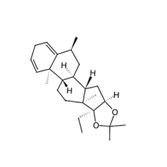 CC[C@@]12OC(C)(C)O[C@@H]1C[C@H]1[C@@H]3C[C@H](C)C4=CCC=C[C@]4(C)[C@H]3CC[C@@]12C